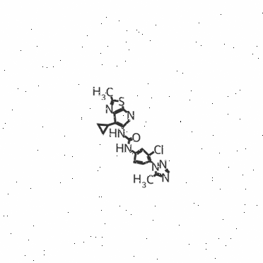 Cc1nc2c(C3CC3)c(NC(=O)Nc3ccc(-n4ncnc4C)c(Cl)c3)cnc2s1